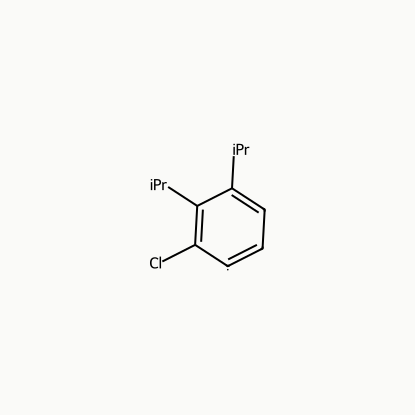 CC(C)c1cc[c]c(Cl)c1C(C)C